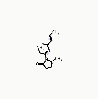 C/C=C/C(I)/N=C(\CN)N1C(=O)CC[C@@H]1C